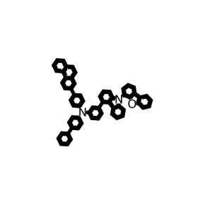 c1ccc(-c2ccc(N(c3ccc(-c4ccc5c(ccc6ccccc65)c4)cc3)c3cccc(-c4cccc5c4c4ccccc4n5-c4cccc5c4oc4ccccc45)c3)cc2)cc1